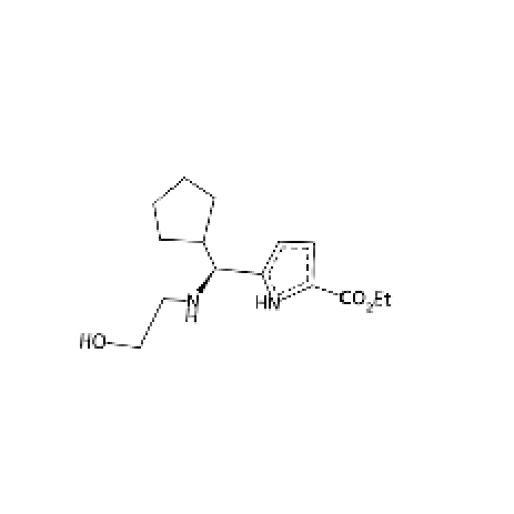 CCOC(=O)c1ccc([C@@H](NCCO)C2CCCC2)[nH]1